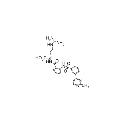 Cc1nccc(-c2cccc(S(=O)(=O)Nc3ccsc3C(=O)N[C@@H](CCCNC(N)N)C(=O)O)c2)n1